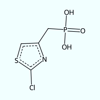 O=P(O)(O)Cc1csc(Cl)n1